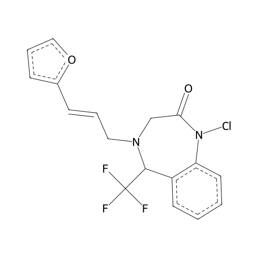 O=C1CN(CC=Cc2ccco2)C(C(F)(F)F)c2ccccc2N1Cl